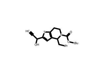 C#CC(O)c1cc2c(s1)CCN(C(=O)OC(C)(C)C)C2CC(C)C